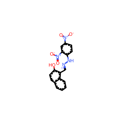 O=[N+]([O-])c1ccc(N/N=C/c2c(O)ccc3ccccc23)c([N+](=O)[O-])c1